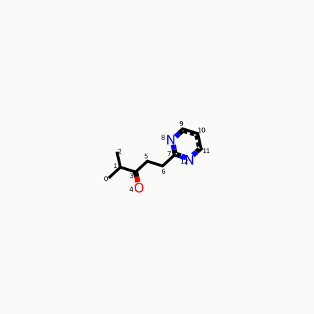 CC(C)C(=O)CCc1ncccn1